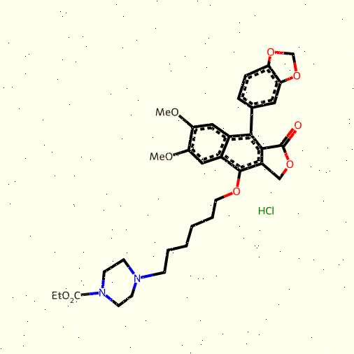 CCOC(=O)N1CCN(CCCCCCOc2c3c(c(-c4ccc5c(c4)OCO5)c4cc(OC)c(OC)cc24)C(=O)OC3)CC1.Cl